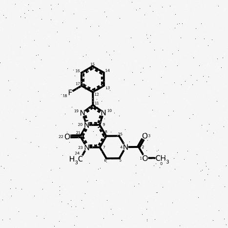 COC(=O)N1CCc2c(c3nc(-c4ccccc4F)nn3c(=O)n2C)C1